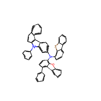 c1ccc(-c2ccc(N(c3ccc4c5c6ccccc6ccc5n(-c5ccccc5)c4c3)c3cccc4c3sc3ccccc34)c3oc4ccccc4c23)cc1